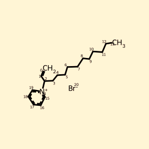 C=CC(CCCCCCCCCCC)[n+]1ccccc1.[Br-]